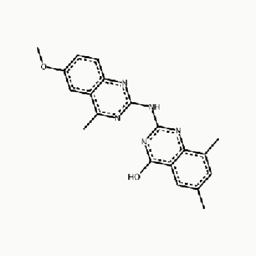 COc1ccc2nc(Nc3nc(O)c4cc(C)cc(C)c4n3)nc(C)c2c1